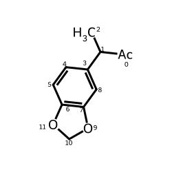 CC(=O)C(C)c1ccc2c(c1)OCO2